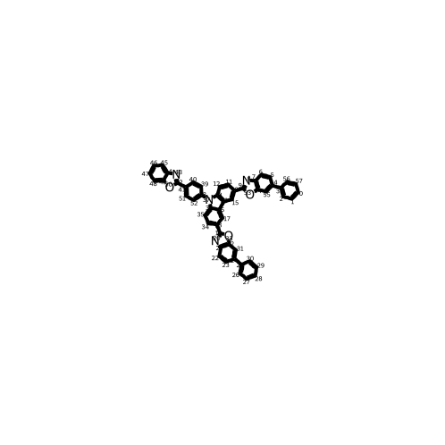 c1ccc(-c2ccc3nc(-c4ccc5c(c4)c4cc(-c6nc7ccc(-c8ccccc8)cc7o6)ccc4n5-c4ccc(-c5nc6ccccc6o5)cc4)oc3c2)cc1